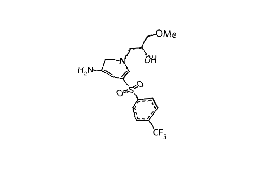 COCC(O)CN1C=C(S(=O)(=O)c2ccc(C(F)(F)F)cc2)C=C(N)C1